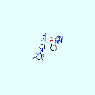 Cc1cc(C)nc(N2CC3CNC(C(=O)c4cccc(C)c4-n4ccnn4)C3C2)n1